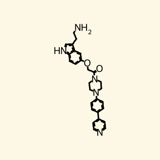 NCCc1c[nH]c2ccc(OCC(=O)N3CCN(c4ccc(-c5ccncc5)cc4)CC3)cc12